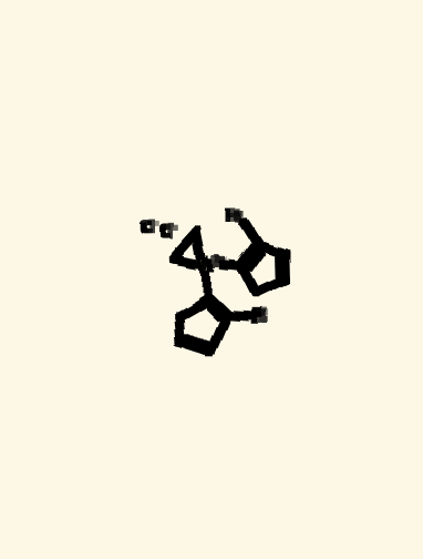 CCC1=[C]([Zr+2]2([C]3=C(CC)C=CC3)[CH2][CH2]2)CC=C1.[Cl-].[Cl-]